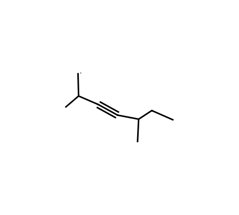 [CH2]C(C)C#CC(C)CC